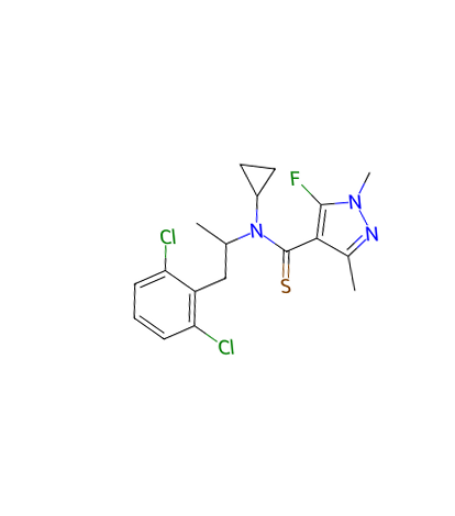 Cc1nn(C)c(F)c1C(=S)N(C(C)Cc1c(Cl)cccc1Cl)C1CC1